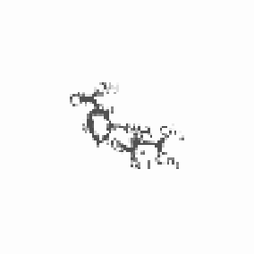 CC(C)[C@@H](Nc1cccc(C(=O)O)c1)C(=O)O